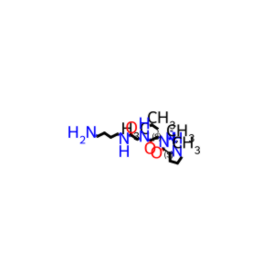 CC(C)C[C@@H](C(=O)NCC(=O)NCCCCN)N(C(=O)[C@@H]1CCCN1)N(C)C